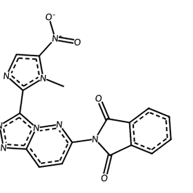 Cn1c([N+](=O)[O-])cnc1-c1nnc2ccc(N3C(=O)c4ccccc4C3=O)nn12